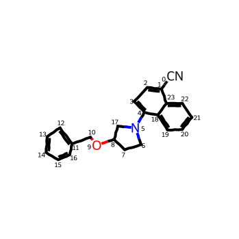 N#Cc1ccc(N2CCC(OCc3ccccc3)C2)c2ccccc12